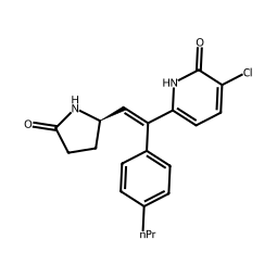 CCCc1ccc(/C(=C\[C@H]2CCC(=O)N2)c2ccc(Cl)c(=O)[nH]2)cc1